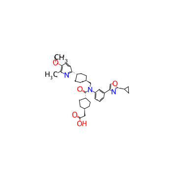 COc1ccc([C@H]2CC[C@H](CN(c3cccc(-c4coc(C5CC5)n4)c3)C(=O)[C@H]3CC[C@H](CC(=O)O)CC3)CC2)nc1C